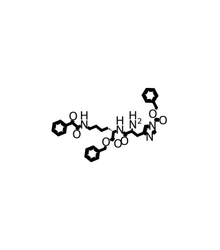 N[C@@H](Cc1cn(C(=O)OCc2ccccc2)cn1)C(=O)N[C@@H](CCCCNC(=O)C(=O)c1ccccc1)C(=O)OCc1ccccc1